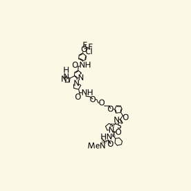 CN[C@@H](C)C(=O)N[C@H](C(=O)N1CCC[C@H]1c1nc(C(=O)c2cccc(OCCOCCOCCNC(=O)C3CCN(c4ncc(C(=O)Nc5ccc(OC(F)(F)Cl)cc5)cc4-c4ccn[nH]4)C3)c2)cs1)C1CCCCC1